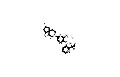 C[C@H]1C[C@H](N)C2(CCN(c3cnc(Sc4cccnc4C(F)(F)F)c(N)n3)CC2)C1